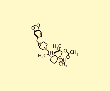 CC(=O)O[C@@H]1[CH][C@@]2(O)[C@H](C)CC[C@@H](C(C)CN3CCN(Cc4ccc5c(c4)OCO5)CC3)[C@H]2C=C1C